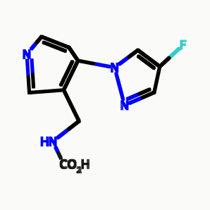 O=C(O)NCc1cnccc1-n1cc(F)cn1